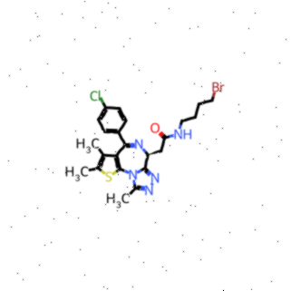 Cc1sc2c(c1C)C(c1ccc(Cl)cc1)=N[C@@H](CC(=O)NCCCCBr)c1nnc(C)n1-2